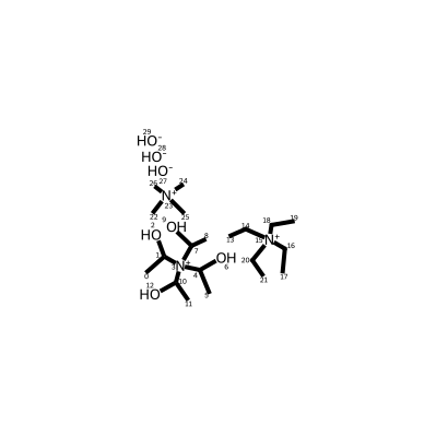 CC(O)[N+](C(C)O)(C(C)O)C(C)O.CC[N+](CC)(CC)CC.C[N+](C)(C)C.[OH-].[OH-].[OH-]